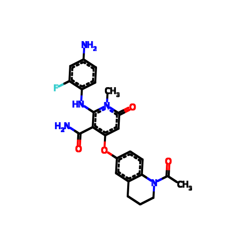 CC(=O)N1CCCc2cc(Oc3cc(=O)n(C)c(Nc4ccc(N)cc4F)c3C(N)=O)ccc21